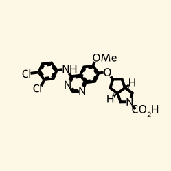 COc1cc2c(Nc3ccc(Cl)c(Cl)c3)ncnc2cc1OC1C[C@@H]2CN(C(=O)O)C[C@@H]2C1